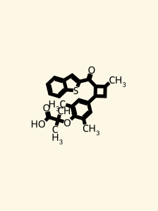 Cc1cc(C2CC(C)C2C(=O)c2cc3ccccc3s2)cc(C)c1OC(C)(C)C(=O)O